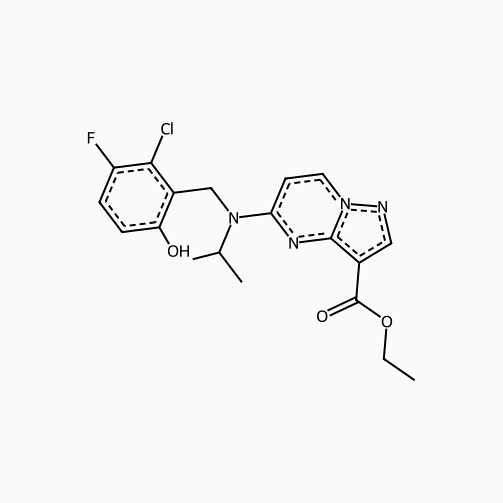 CCOC(=O)c1cnn2ccc(N(Cc3c(O)ccc(F)c3Cl)C(C)C)nc12